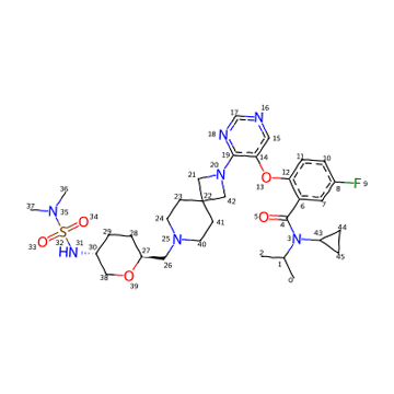 CC(C)N(C(=O)c1cc(F)ccc1Oc1cncnc1N1CC2(CCN(C[C@@H]3CC[C@@H](NS(=O)(=O)N(C)C)CO3)CC2)C1)C1CC1